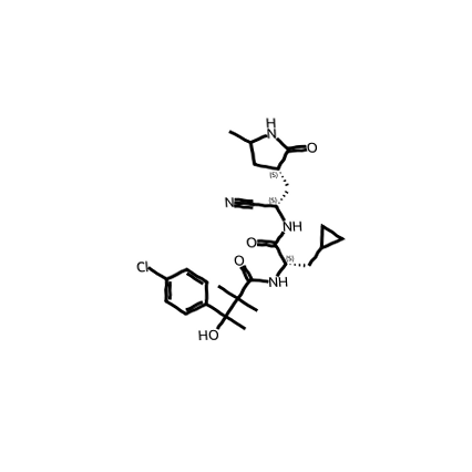 CC1C[C@@H](C[C@@H](C#N)NC(=O)[C@H](CC2CC2)NC(=O)C(C)(C)C(C)(O)c2ccc(Cl)cc2)C(=O)N1